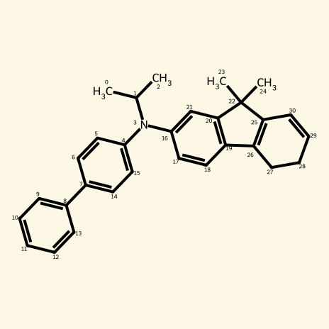 CC(C)N(c1ccc(-c2ccccc2)cc1)c1ccc2c(c1)C(C)(C)C1=C2CCC=C1